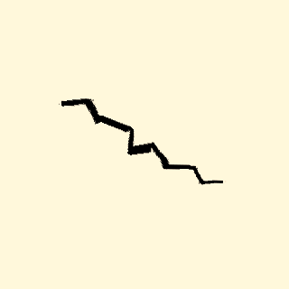 [CH2][CH][CH]CC=CC=C[CH][CH2]